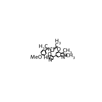 COc1ccc([C@H](C)N2C[C@H]([C@@H](C)Oc3cc(-c4cn[nH]c4)cc4nn(C)c(C)c34)CC2=O)cc1